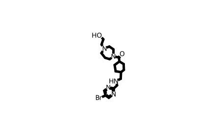 O=C(C1CCC(CNCc2ncc(Br)cn2)CC1)N1CCCN(CCO)CC1